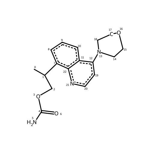 CC(COC(N)=O)c1cccc2c(N3CCOCC3)ccnc12